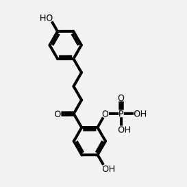 O=C(CCCc1ccc(O)cc1)c1ccc(O)cc1OP(=O)(O)O